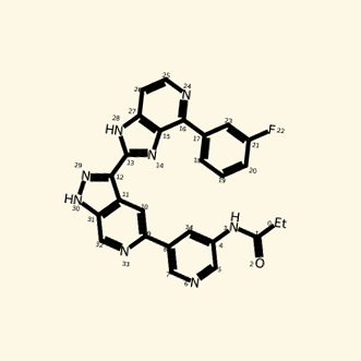 CCC(=O)Nc1cncc(-c2cc3c(-c4nc5c(-c6cccc(F)c6)nccc5[nH]4)n[nH]c3cn2)c1